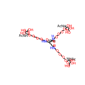 CNC(CCCC(=O)NCCOCCOCCOCCOC1OC(CO)C(O)C(O)C1NC(C)=O)(CCC(=O)NCCOCCOCCOCCOC1OC(CO)C(O)C(O)C1NC(C)=O)CC(=O)NCCOCCOCCOCCOC1OC(CO)C(O)C(O)C1NC(C)=O